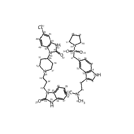 CN(C)CCc1c[nH]c2ccc(CS(=O)(=O)N3CCCC3)cc12.O=c1[nH]c2ccccc2n1CCCN1CCC(n2c(=O)[nH]c3cc(Cl)ccc32)CC1